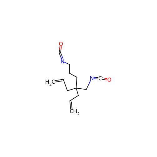 C=CCC(CC=C)(CCCN=C=O)CN=C=O